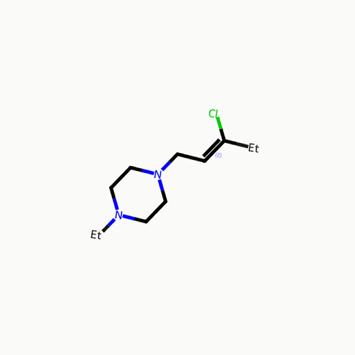 CC/C(Cl)=C/CN1CCN(CC)CC1